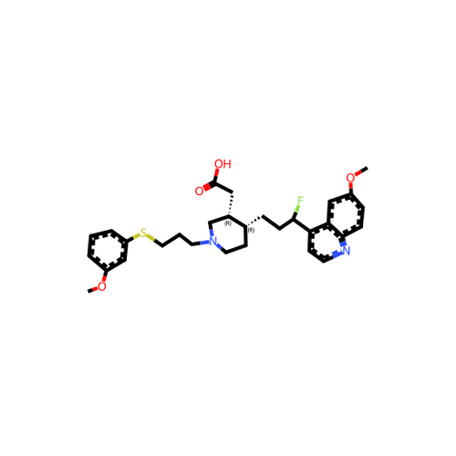 COc1cccc(SCCCN2CC[C@@H](CCC(F)c3ccnc4ccc(OC)cc34)[C@@H](CC(=O)O)C2)c1